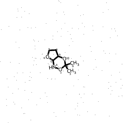 CC1(C)ONC2OCCC2O1